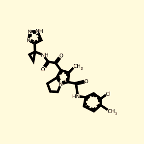 Cc1ccc(NC(=O)c2c(C)c(C(=O)C(=O)NC3(c4c[nH]nn4)CC3)c3n2CCC3)cc1Cl